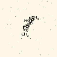 CCCC1CCC(c2ccc(CCCC(=O)c3ccc(C)c(F)c3O)cc2F)CC1